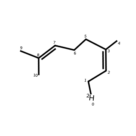 [2H]CC=C(C)CCC=C(C)C